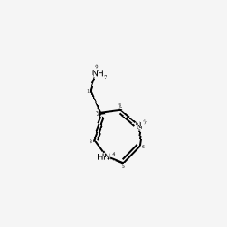 NCC1=CNC=CN=C1